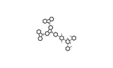 Cc1cc(-c2cc(-c3ccccc3C)nc(-c3ccccc3C)n2)c(C)cc1-c1ccc(-n2c3ccc(-n4c5ccccc5c5ccccc54)cc3c3cc(-n4c5ccccc5c5ccccc54)ccc32)cc1